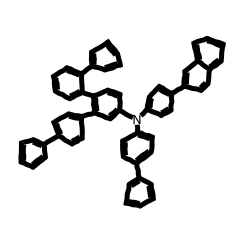 c1ccc(-c2ccc(-c3cc(N(c4ccc(-c5ccccc5)cc4)c4ccc(-c5ccc6ccccc6c5)cc4)ccc3-c3ccccc3-c3ccccc3)cc2)cc1